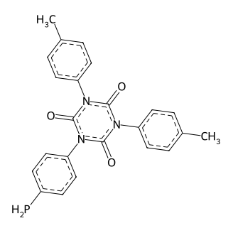 Cc1ccc(-n2c(=O)n(-c3ccc(C)cc3)c(=O)n(-c3ccc(P)cc3)c2=O)cc1